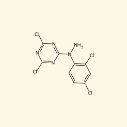 NN(c1nc(Cl)nc(Cl)n1)c1ccc(Cl)cc1Cl